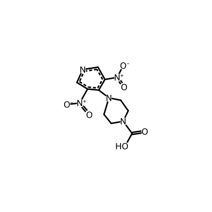 O=C(O)N1CCN(c2c([N+](=O)[O-])cncc2[N+](=O)[O-])CC1